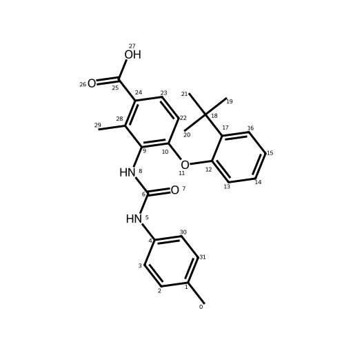 Cc1ccc(NC(=O)Nc2c(Oc3ccccc3C(C)(C)C)ccc(C(=O)O)c2C)cc1